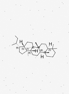 CCC(C)[C@H]1CC[C@]2(C)[C@H]3CC[C@@H]4[C@@]5(C)CCCC(C)(C)[C@@H]5CC[C@@]4(C)[C@]3(C)CC[C@@H]12